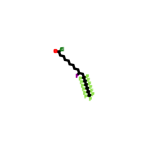 O=C(Cl)CCCCCCCCC(I)CC(F)(F)C(F)(F)C(F)(F)C(F)(F)C(F)(F)C(F)(F)F